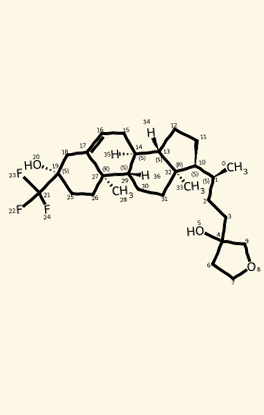 C[C@@H](CCC1(O)CCOC1)[C@@H]1CC[C@H]2[C@@H]3CC=C4C[C@](O)(C(F)(F)F)CC[C@]4(C)[C@H]3CC[C@@]21C